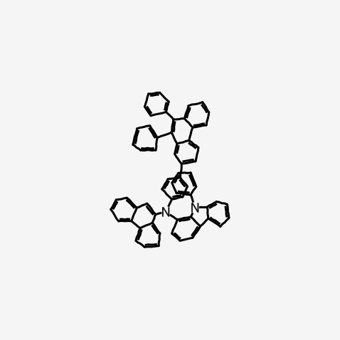 c1ccc(-c2c(-c3ccccc3)c3cc(-c4ccc(N(c5cc6ccccc6c6ccccc56)c5cccc6c7ccccc7n(-c7ccccc7)c56)cc4)ccc3c3ccccc23)cc1